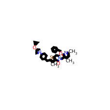 Cc1cc(C)c(CN2CCc3sc(CC4CCC(N5CC(OC6CC6)C5)CC4)c(C)c3C2=O)c(OCc2ccccc2)n1